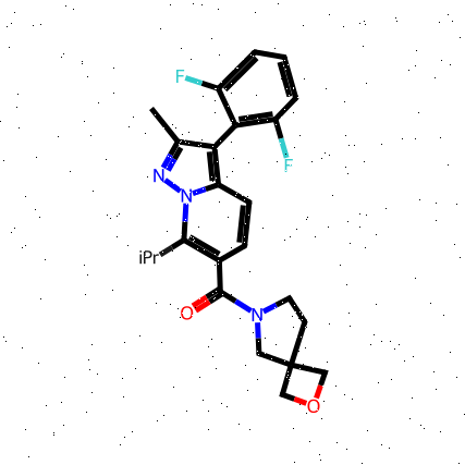 Cc1nn2c(C(C)C)c(C(=O)N3CCC4(COC4)C3)ccc2c1-c1c(F)cccc1F